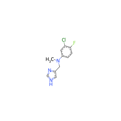 CN(Cc1c[nH]cn1)c1ccc(F)c(Cl)c1